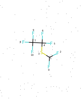 F[C](F)SC(F)(F)C(F)(F)F